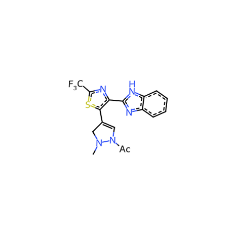 CC(=O)N1C=C(c2sc(C(F)(F)F)nc2-c2nc3ccccc3[nH]2)CN1C